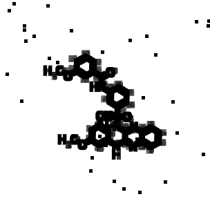 COc1cc(O)cc(Nc2nc3ccccc3nc2NS(=O)(=O)c2cccc(NC(=O)c3cccc(OC)c3)c2)c1